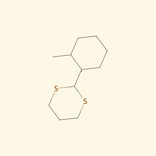 CC1CCCC[C]1C1SCCCS1